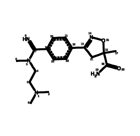 CN(C)CCN(C)C(=N)c1ccc(C2=NOC(C)(C(N)=O)C2)cc1